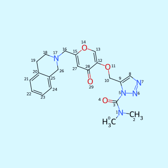 CN(C)C(=O)n1nncc1COc1coc(CN2CCc3ccccc3C2)cc1=O